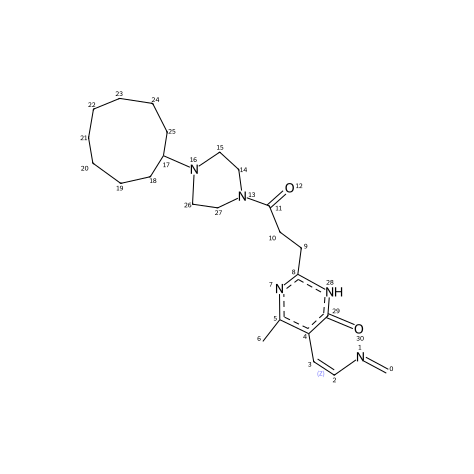 C=N/C=C\c1c(C)nc(CCC(=O)N2CCN(C3CCCCCCCC3)CC2)[nH]c1=O